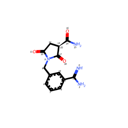 N=C(N)c1cccc(CN2C(=O)C[C@@H](C(N)=O)C2=O)c1